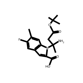 Cc1cc2c(cc1F)cc(C(=O)O)n2C(C)(N)CC(=O)OC(C)(C)C